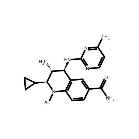 CC(=O)N1c2ccc(C(N)=O)cc2[C@H](Nc2nccc(C)n2)[C@@H](C)[C@@H]1C1CC1